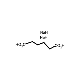 O=C(O)CCCCC(=O)O.[NaH].[NaH]